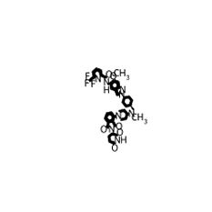 COc1cc2nn([C@H]3CC[C@H](CN(C)C4CCN(c5cccc6c5C(=O)N(C5CCC(=O)NC5=O)C6=O)CC4)CC3)cc2cc1NC(=O)c1cccc(C(F)(F)F)n1